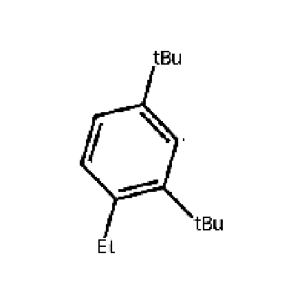 CCc1ccc(C(C)(C)C)[c]c1C(C)(C)C